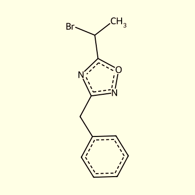 CC(Br)c1nc(Cc2ccccc2)no1